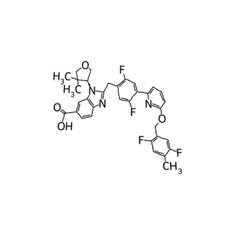 Cc1cc(F)c(COc2cccc(-c3cc(F)c(Cc4nc5ccc(C(=O)O)cc5n4[C@@H]4COCC4(C)C)cc3F)n2)cc1F